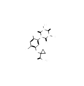 COC(=O)C1(Oc2cc(-n3c(=O)n(C)c(=S)n(C)c3=O)c(F)cc2Cl)CC1